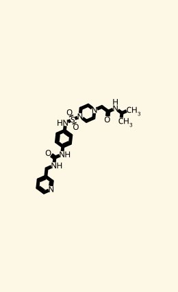 CC(C)NC(=O)CN1CCN(S(=O)(=O)Nc2ccc(NC(=O)NCc3cccnc3)cc2)CC1